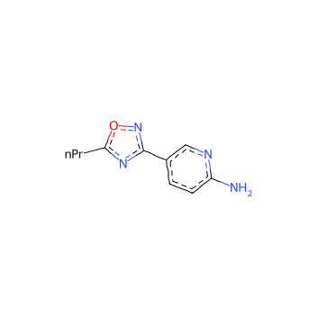 CCCc1nc(-c2ccc(N)nc2)no1